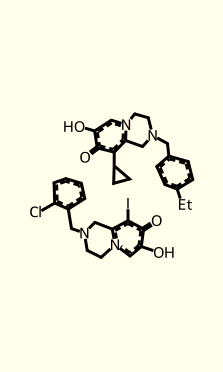 CCc1ccc(CN2CCn3cc(O)c(=O)c(C4CC4)c3C2)cc1.O=c1c(O)cn2c(c1I)CN(Cc1ccccc1Cl)CC2